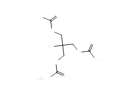 CCCCCCCCCCC(=O)OCC(CC)(COC(=O)CCCCCCCCCC)COC(=O)CCCCCCCCCC